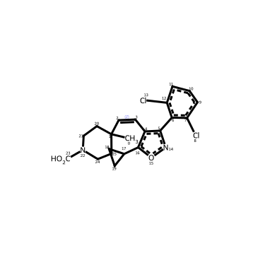 CC1(/C=C\c2c(-c3c(Cl)cccc3Cl)noc2C2CC2)CCN(C(=O)O)CC1